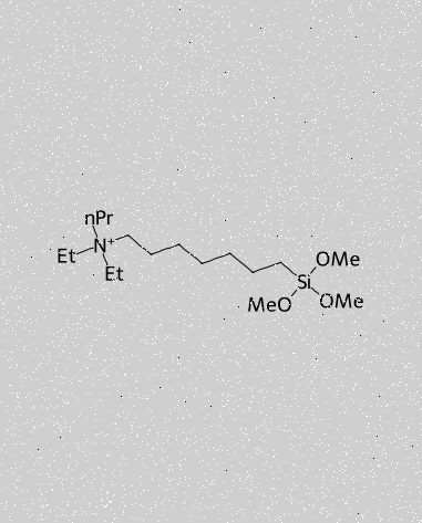 CCC[N+](CC)(CC)CCCCCCC[Si](OC)(OC)OC